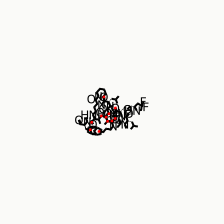 CCCCN(CC(=O)N(C)[C@@H](CC(C)C)C(=O)N[C@@H](COC[C@@H]1CC(F)(F)CN1)C(=O)N(C)[C@@H](CC(C)C)C(=O)N(C)[C@@H](CC(C)C)C(=O)NC(CC(=O)NC(C(=O)N(C)[C@H](C=O)CC1C2=C3CCC(=C1CC2)C3)C(C)C)C(=O)N1CCCCC1)C(=O)CC(C)O